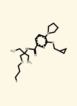 CCC(CC)(COCCCF)NC(=O)c1ccc(N2CCCC2)c(OCC2CC2)n1